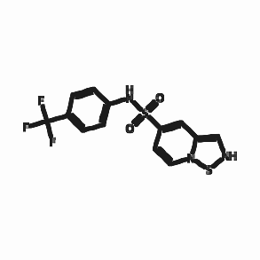 O=S(=O)(Nc1ccc(C(F)(F)F)cc1)C1=CC2=CNSN2C=C1